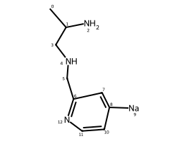 CC(N)CNCc1c[c]([Na])ccn1